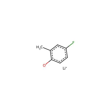 Cc1cc(F)ccc1[O-].[Li+]